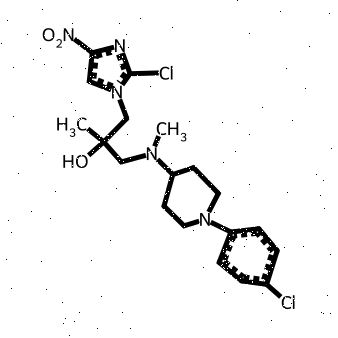 CN(CC(C)(O)Cn1cc([N+](=O)[O-])nc1Cl)C1CCN(c2ccc(Cl)cc2)CC1